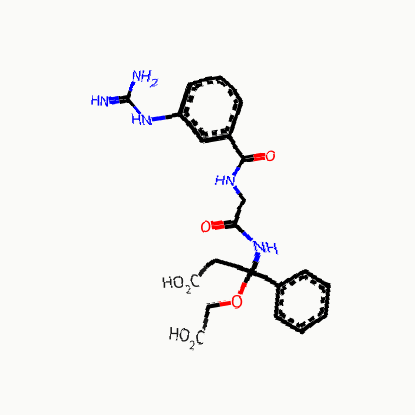 N=C(N)Nc1cccc(C(=O)NCC(=O)NC(CC(=O)O)(OCC(=O)O)c2ccccc2)c1